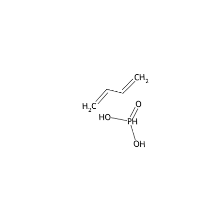 C=CC=C.O=[PH](O)O